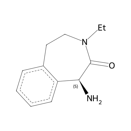 CCN1CCc2ccccc2[C@H](N)C1=O